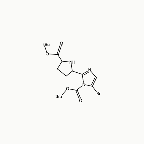 CC(C)(C)OC(=O)C1CCC(c2ncc(Br)n2C(=O)OC(C)(C)C)N1